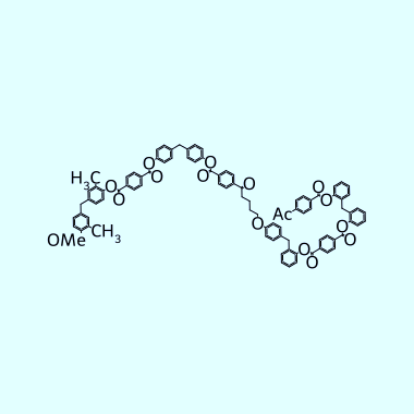 COc1ccc(Cc2ccc(OC(=O)c3ccc(C(=O)Oc4ccc(Cc5ccc(OC(=O)c6ccc(C(=O)CCCCOc7ccc(Cc8ccccc8OC(=O)c8ccc(C(=O)Oc9ccccc9Cc9ccccc9OC(=O)c9ccc(C(C)=O)cc9)cc8)cc7)cc6)cc5)cc4)cc3)c(C)c2)cc1C